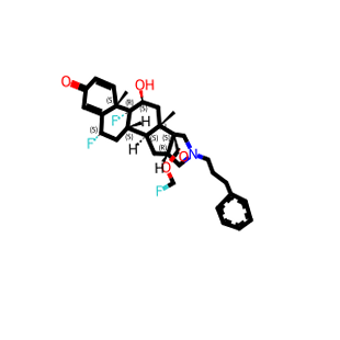 C[C@]12C=CC(=O)C=C1[C@@H](F)C[C@H]1[C@@H]3C[C@H]4CN(CCCc5ccccc5)C[C@@]4(C(=O)OCF)[C@@]3(C)C[C@H](O)[C@@]12F